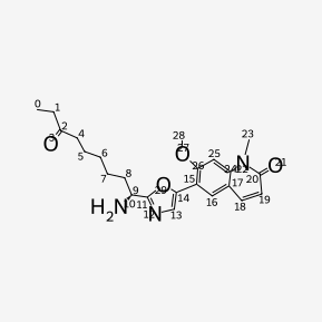 CCC(=O)CCCCC[C@H](N)c1ncc(-c2cc3ccc(=O)n(C)c3cc2OC)o1